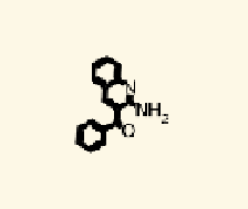 Nc1nc2ccccc2cc1C(=O)c1ccccc1